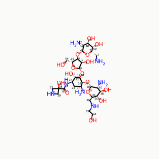 NC[C@@H]1O[C@H](O[C@H]2[C@@H](O)[C@H](O[C@@H]3[C@@H](O)[C@H](NC(=O)C4(O)CNC4)C[C@H](N)[C@H]3O[C@H]3O[C@H](CNCCO)[C@@H](O)[C@H](O)[C@H]3N)O[C@@H]2CO)[C@H](N)[C@@H](O)[C@@H]1O